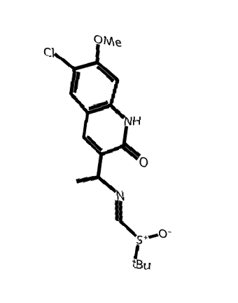 COc1cc2[nH]c(=O)c(C(C)/N=C/[S+]([O-])C(C)(C)C)cc2cc1Cl